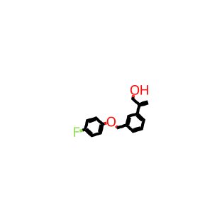 C=C(CO)c1cccc(COc2ccc(F)cc2)c1